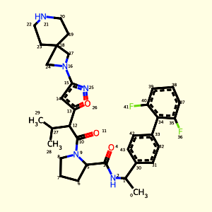 CC(NC(=O)C1CCCN1C(=O)C(c1cc(N2CC3(CCNCC3)C2)no1)C(C)C)c1ccc(-c2c(F)cccc2F)cc1